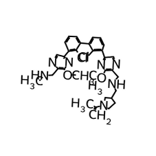 C=C(C)N1CCC(CNCc2ncc(-c3cccc(-c4cccc(-c5cnc(CNC)c(OC)n5)c4Cl)c3Cl)nc2OC)C1